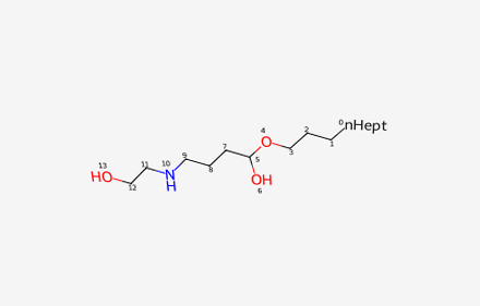 CCCCCCCCCCOC(O)CCCNCCO